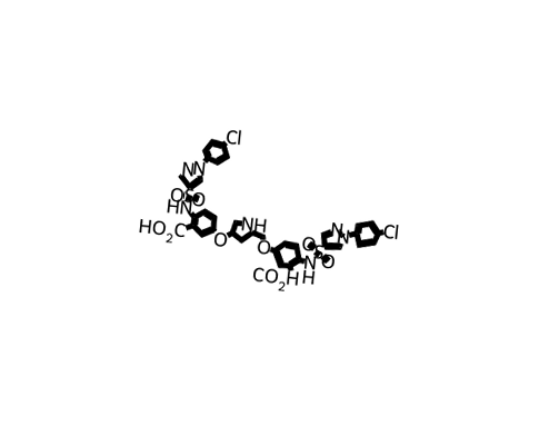 O=C(O)c1cc(OCC2CC(Oc3ccc(NS(=O)(=O)c4cnn(-c5ccc(Cl)cc5)c4)c(C(=O)O)c3)CN2)ccc1NS(=O)(=O)c1cnn(-c2ccc(Cl)cc2)c1